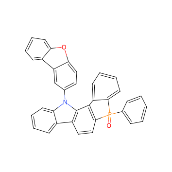 O=P1(c2ccccc2)c2ccccc2-c2c1ccc1c3ccccc3n(-c3ccc4oc5ccccc5c4c3)c21